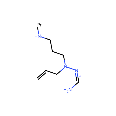 C=CCN(CCCNC(C)C)/N=C\N